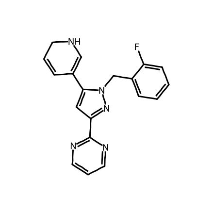 Fc1ccccc1Cn1nc(-c2ncccn2)cc1C1=CNCC=C1